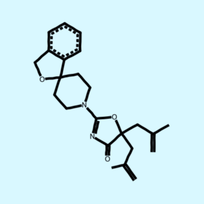 C=C(C)CC1(CC(=C)C)OC(N2CCC3(CC2)OCc2ccccc23)=NC1=O